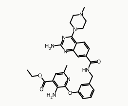 CCOC(=O)c1cc(C)nc(Oc2cccc(CNC(=O)c3ccc4c(N5CCN(C)CC5)nc(N)nc4c3)c2)c1N